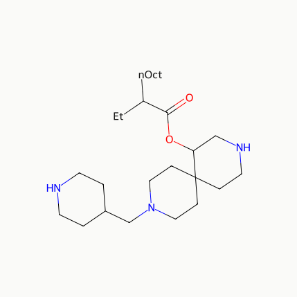 CCCCCCCCC(CC)C(=O)OC1CNCCC12CCN(CC1CCNCC1)CC2